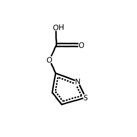 O=C(O)Oc1ccsn1